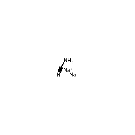 N#CN.[Na+].[Na+]